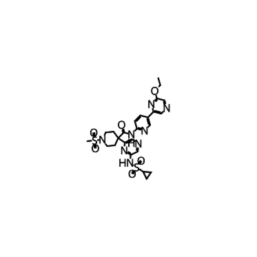 CCOc1cncc(-c2ccc(NC(=O)C3(c4cncc(NS(=O)(=O)C5CC5)n4)CCN(S(C)(=O)=O)CC3)nc2)n1